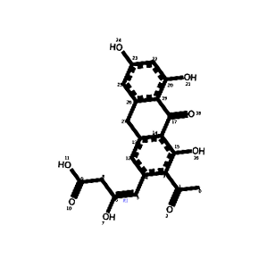 CC(=O)c1c(/C=C(/O)CC(=O)O)cc2c(c1O)C(=O)c1c(O)cc(O)cc1C2